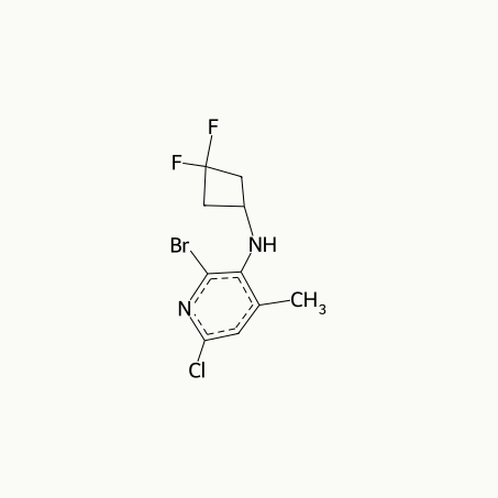 Cc1cc(Cl)nc(Br)c1NC1CC(F)(F)C1